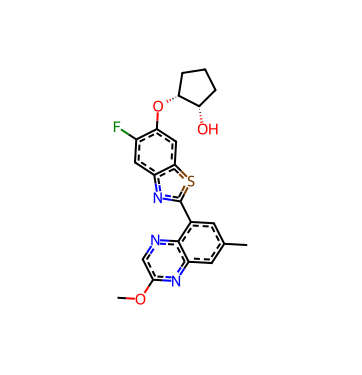 COc1cnc2c(-c3nc4cc(F)c(O[C@@H]5CCC[C@@H]5O)cc4s3)cc(C)cc2n1